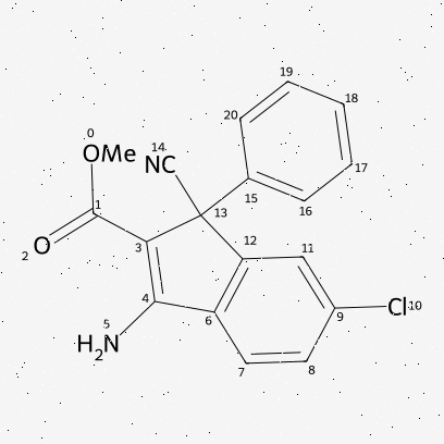 COC(=O)C1=C(N)c2ccc(Cl)cc2C1(C#N)c1ccccc1